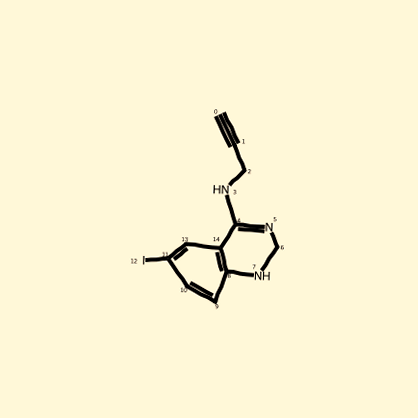 C#CCNC1=NCNc2ccc(I)cc21